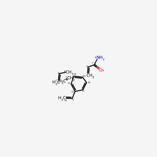 C=C.C=CC.C=CC(N)=O.C=Cc1ccccc1